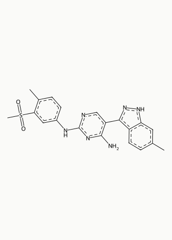 Cc1ccc2c(-c3cnc(Nc4ccc(C)c(S(C)(=O)=O)c4)nc3N)n[nH]c2c1